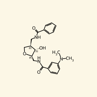 CN(C)c1cccc(C(=O)NC[C@H]2OC[C@@H](CNC(=O)c3ccccc3)[C@@H]2O)c1